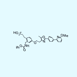 COc1cccc(-c2ccc(-c3nc(CCOc4ccc(CCC(=O)O)c(CNC(=O)OC(C)C)c4)c(C)o3)cc2)n1